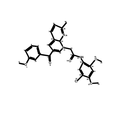 COc1cccc(C(=O)C2=CN(CC(=O)Nc3cc(Cl)c(OC)cc3OC)C3N=C(C)C=CC3=C2)c1